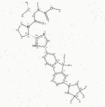 COC(=O)N(C)[C@H](C(=O)N1CCC[C@H]1c1ncc(-c2ccc3c(c2)C(F)(F)c2cc(B4OC(C)(C)C(C)(C)O4)ccc2-3)[nH]1)C(C)C